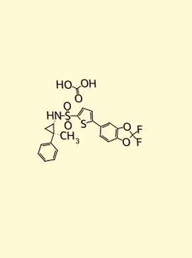 C[C@]1(c2ccccc2)C[C@@H]1NS(=O)(=O)c1ccc(-c2ccc3c(c2)OC(F)(F)O3)s1.O=C(O)O